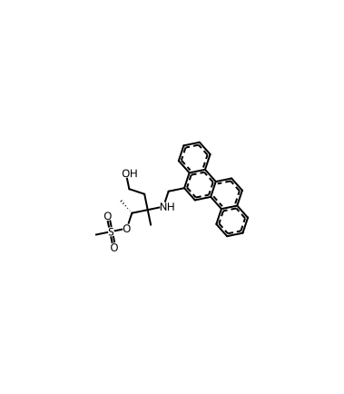 C[C@@H](OS(C)(=O)=O)C(C)(CCO)NCc1cc2c3ccccc3ccc2c2ccccc12